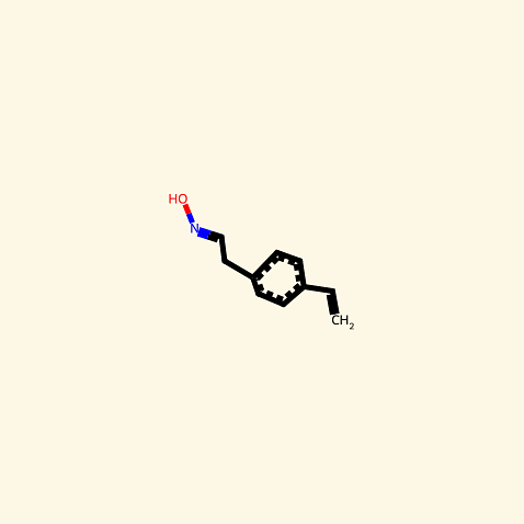 C=Cc1ccc(C/C=N/O)cc1